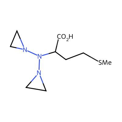 CSCCC(C(=O)O)N(N1CC1)N1CC1